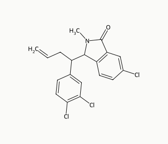 C=CCC(c1ccc(Cl)c(Cl)c1)C1c2ccc(Cl)cc2C(=O)N1C